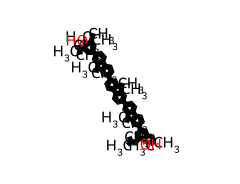 CC(C)Cc1cc(-c2ccc3c(c2)C(C)(C)c2cc(-c4ccc5c(c4)C(C)(C)c4cc(-c6ccc7c(c6)C(C)(C)c6cc(-c8cc(C(C)(C)C)c(O)c(C(C)(C)C)c8)ccc6-7)ccc4-5)ccc2-3)cc(CC(C)C)c1O